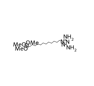 CO[Si](CCCCCCCCCCCCn1nc(N)nc1N)(OC)OC